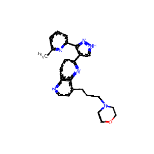 Cc1cccc(-c2n[nH]cc2-c2ccc3nccc(CCCN4CCOCC4)c3n2)n1